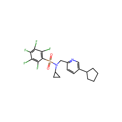 O=S(=O)(c1c(F)c(F)c(F)c(F)c1F)N(Cc1ccc(C2CCCC2)cn1)C1CC1